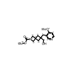 COc1ccncc1CC1(CO)CC2(CN(C(=O)OC(C)(C)C)C2)C1